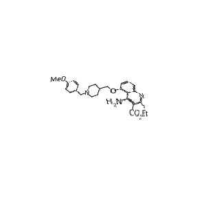 CCOC(=O)c1c(C)nc2cccc(OCC3CCN(Cc4ccc(OC)cc4)CC3)c2c1N